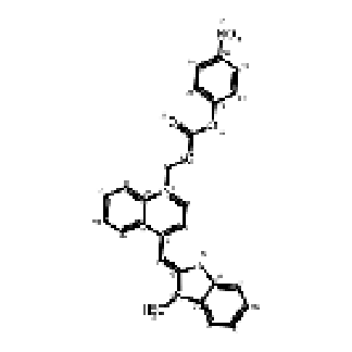 CN1/C(=C/c2cc[n+](COC(=O)Oc3ccc([N+](=O)[O-])cc3)c3ccccc23)Sc2ccccc21